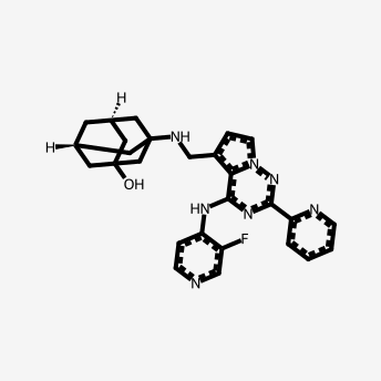 OC12C[C@H]3C[C@@H](C1)CC(NCc1ccn4nc(-c5ccccn5)nc(Nc5ccncc5F)c14)(C3)C2